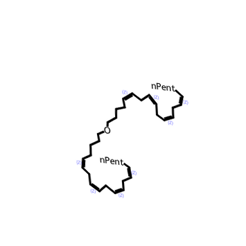 CCCCC/C=C\C/C=C\C/C=C\C/C=C\CCCCOCCCC/C=C\C/C=C\C/C=C\C/C=C\CCCCC